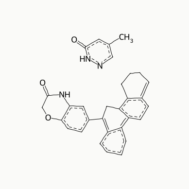 Cc1cn[nH]c(=O)c1.O=C1COc2ccc(C3=c4ccccc4=c4ccc5c(c4C3)CCCC=5)cc2N1